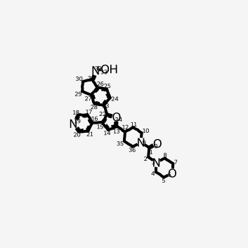 O=C(CN1CCOCC1)N1CCC(c2cc(-c3ccncc3)c(-c3ccc4c(c3)CC/C4=N/O)o2)CC1